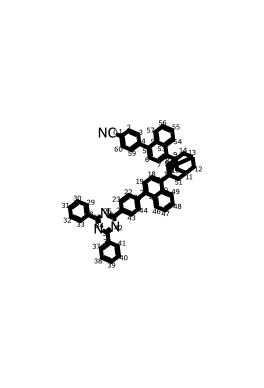 N#Cc1ccc(-c2ccc(C34CC5CC(C3)CC(c3ccc(-c6ccc(-c7nc(-c8ccccc8)nc(-c8ccccc8)n7)cc6)c6ccccc36)(C5)C4)c3ccccc23)cc1